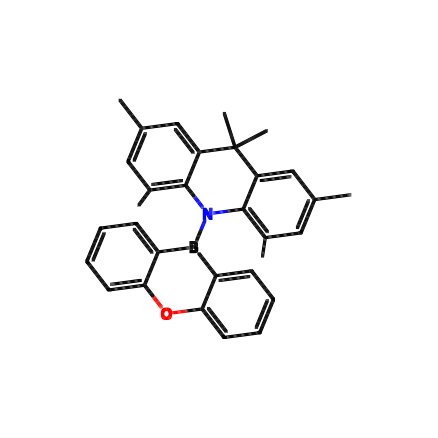 Cc1cc(C)c2c(c1)C(C)(C)c1cc(C)cc(C)c1N2B1c2ccccc2Oc2ccccc21